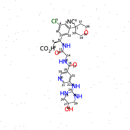 N#CC1(c2cc(Cl)cc([C@H](CC(=O)O)NC(=O)CNC(=O)c3cncc(NC4NCC(O)CN4)c3)c2)CCOCC1